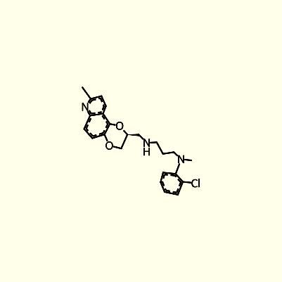 Cc1ccc2c3c(ccc2n1)OC[C@H](CNCCCN(C)c1ccccc1Cl)O3